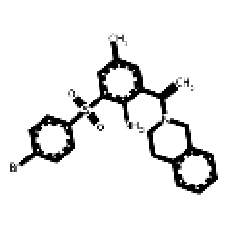 C=C(c1cc(C)cc(S(=O)(=O)c2ccc(Br)cc2)c1N)N1CCc2ccccc2C1